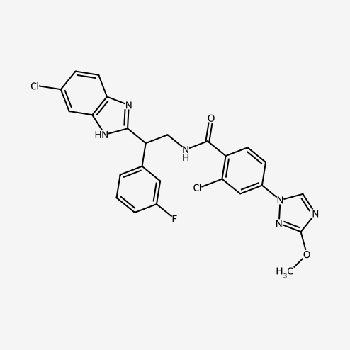 COc1ncn(-c2ccc(C(=O)NCC(c3cccc(F)c3)c3nc4ccc(Cl)cc4[nH]3)c(Cl)c2)n1